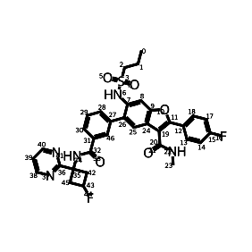 CCCS(=O)(=O)Nc1cc2oc(-c3ccc(F)cc3)c(C(=O)NC)c2cc1-c1cccc(C(=O)NC2(c3ncccn3)CC(F)C2)c1